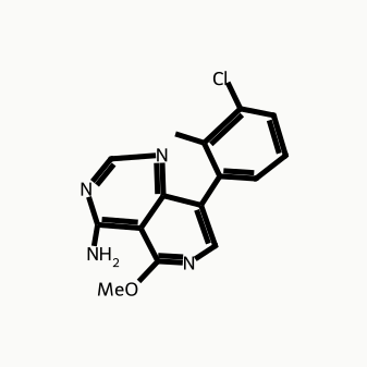 COc1ncc(-c2cccc(Cl)c2C)c2ncnc(N)c12